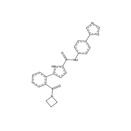 O=C(Nc1ccc(-c2cnco2)cc1)c1ccc(-c2ccccc2C(=O)N2CCC2)[nH]1